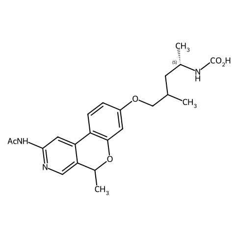 CC(=O)Nc1cc2c(cn1)C(C)Oc1cc(OCC(C)C[C@H](C)NC(=O)O)ccc1-2